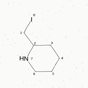 ICC1CCCCN1